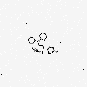 Fc1ccc(CC=CP(C2CCCCC2)C2CCCCC2)cc1.[Cl][Ni][Cl]